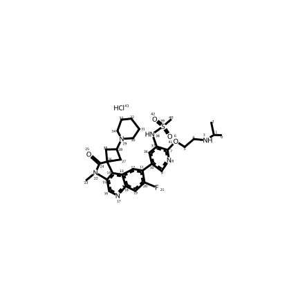 CC(C)NCCOc1ncc(-c2cc3c4c(cnc3cc2F)N(C)C(=O)C42CC(N3CCCCC3)C2)cc1NS(C)(=O)=O.Cl